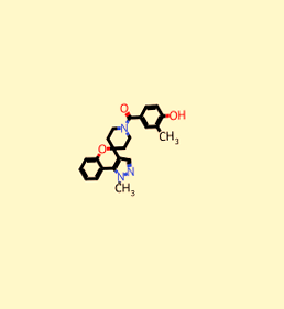 Cc1cc(C(=O)N2CCC3(CC2)Oc2ccccc2-c2c3cnn2C)ccc1O